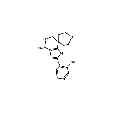 O=C1NCC2(CCOCC2)c2[nH]c(-c3ccncc3O)cc21